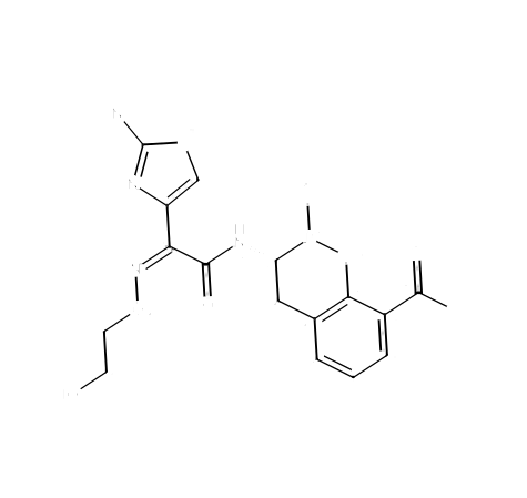 Nc1nc(/C(=N/OCCO)C(=O)N[C@H]2Cc3cccc(C(=O)O)c3OB2O)cs1